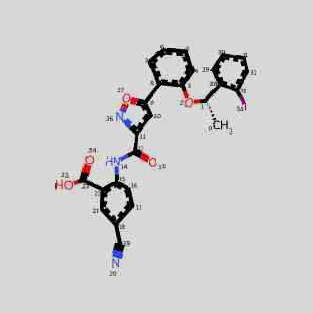 C[C@H](Oc1ccccc1-c1cc(C(=O)Nc2ccc(C#N)cc2C(=O)O)no1)c1ccccc1I